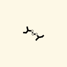 CCC(C)OOOC(C)CC